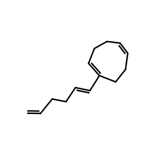 C=CCCC=CC1=CCCC=CCC1